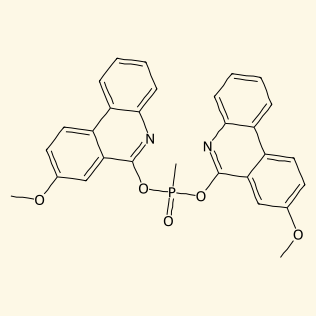 COc1ccc2c(c1)c(OP(C)(=O)Oc1nc3ccccc3c3ccc(OC)cc13)nc1ccccc12